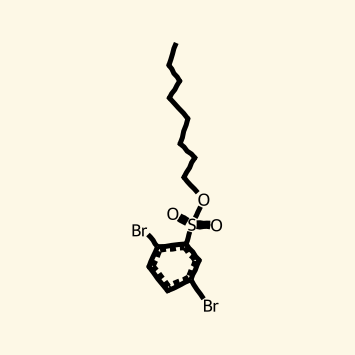 CCCCCCCCOS(=O)(=O)c1cc(Br)ccc1Br